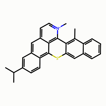 Cc1c2c(cc3ccccc13)Sc1c3ccc(C(C)C)cc3cc3cc[n+](C)c-2c13